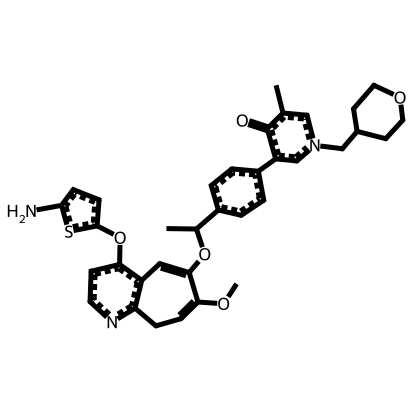 COC1=CCc2nccc(Oc3ccc(N)s3)c2C=C1OC(C)c1ccc(-c2cn(CC3CCOCC3)cc(C)c2=O)cc1